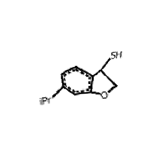 CC(C)c1ccc2c(c1)OCC2S